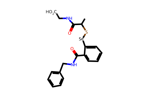 CC(S[Se]c1ccccc1C(=O)NCc1ccccc1)C(=O)NCC(=O)O